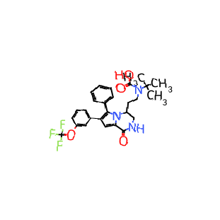 CC(C)(C)N(CCC1CNC(=O)c2cc(-c3cccc(OC(F)(F)F)c3)c(-c3ccccc3)n21)C(=O)O